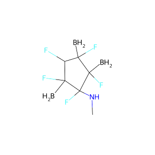 BC1(F)C(F)C(B)(F)C(F)(NC)C1(B)F